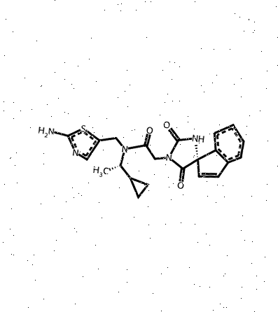 C[C@@H](C1CC1)N(Cc1cnc(N)s1)C(=O)CN1C(=O)N[C@]2(C=Cc3ccccc32)C1=O